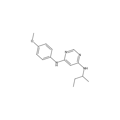 CCC(C)Nc1cc(Nc2ccc(OC)cc2)ncn1